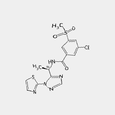 C[C@@H](NC(=O)c1cc(Cl)cc(S(C)(=O)=O)c1)c1ncnn1-c1nccs1